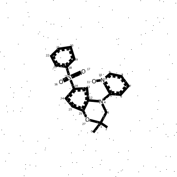 CC1(C)CN(c2cccc[n+]2[O-])c2cc(S(=O)(=O)c3ccccc3)ccc2O1